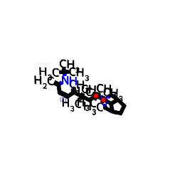 C=C(/C=C\C(=C)C(C)(C)CCC(C)(C)C1C2CCC1CN(C(C)(C)C)C2)NC(C)(C)C